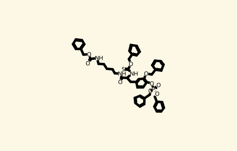 O=C(NCCCCCNC(=O)C(Cc1ccc(OP(=O)(OCc2ccccc2)OCc2ccccc2)c(OCc2ccccc2)c1)NC(=S)OCc1ccccc1)OCc1ccccc1